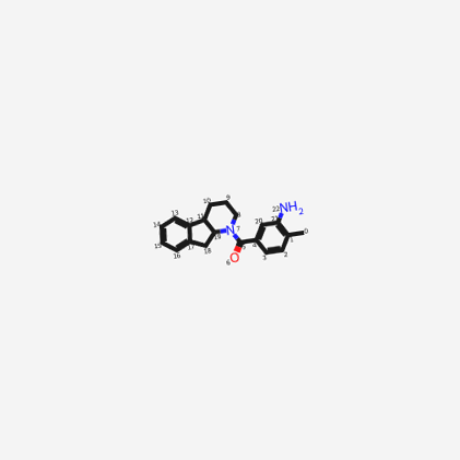 Cc1ccc(C(=O)N2CCCC3c4ccccc4CC32)cc1N